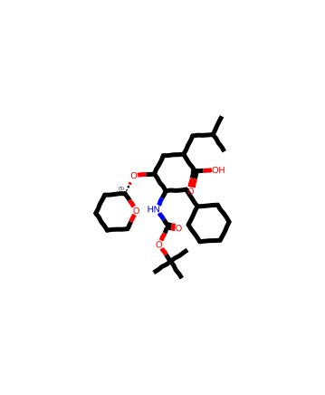 CC(C)CC(CC(O[C@H]1CCCCO1)C(CC1CCCCC1)NC(=O)OC(C)(C)C)C(=O)O